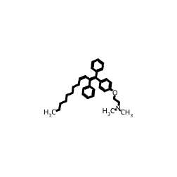 CCCCCCCC/C=C\C(=C(/c1ccccc1)c1ccc(OCCN(C)C)cc1)c1ccccc1